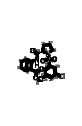 COC(=O)C1C2CCC(CC2)C1NC(=O)[C@@H]1CCCN1S(=O)(=O)c1cc(Cl)cc(Cl)c1